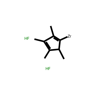 CC1=C(C)C(C)[C]([Zr])=C1C.F.F